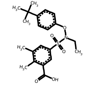 CCN(Oc1ccc(C(C)(C)C)cc1)S(=O)(=O)c1cc(C)c(C)c(C(=O)O)c1